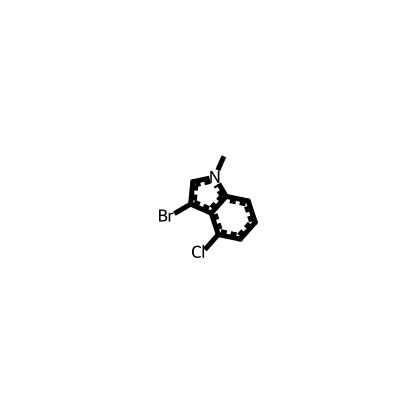 Cn1cc(Br)c2c(Cl)cccc21